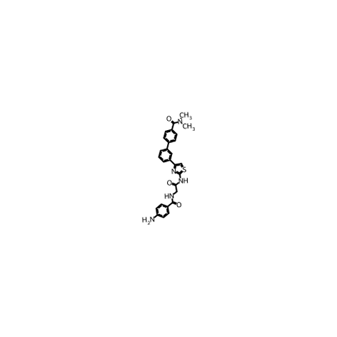 CN(C)C(=O)c1ccc(-c2cccc(-c3csc(NC(=O)CNC(=O)c4ccc(N)cc4)n3)c2)cc1